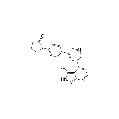 Cc1[nH]nc2nccc(-c3cncc(-c4ccc(N5CCCC5=O)cc4)c3)c12